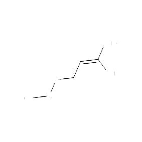 C/C(C=O)=C\CO[SiH2]C(C)(C)C